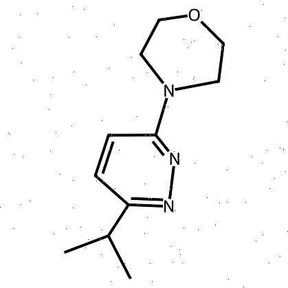 CC(C)c1ccc(N2CCOCC2)nn1